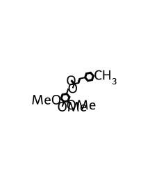 COc1cc(COC(=O)C=Cc2ccc(C)cc2)cc(OC)c1OC